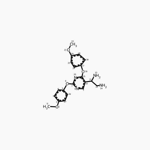 COc1ccc(Oc2ncc(C(N)CN)c(Oc3ccc(OC)cc3)n2)cc1